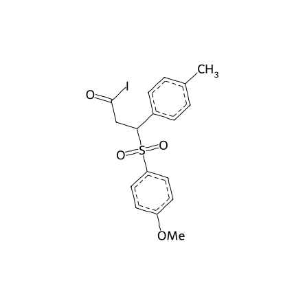 COc1ccc(S(=O)(=O)C(CC(=O)I)c2ccc(C)cc2)cc1